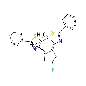 CC12SC(c3ccccc3)=NC1=C1CC(F)CC1=C1N=C(c3ccccc3)SC12C